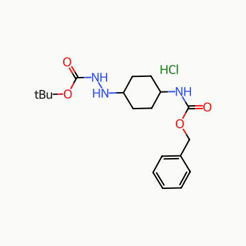 CC(C)(C)OC(=O)NNC1CCC(NC(=O)OCc2ccccc2)CC1.Cl